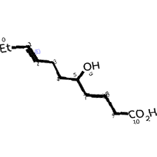 CC/C=C/CCC(O)CCCC(=O)O